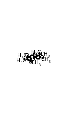 COc1cc(/C=C(/Br)C(=O)c2ccc(OC)c(N(C)C)c2)c(OC)c(OC)c1